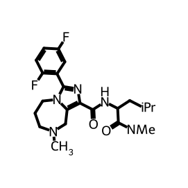 CNC(=O)C(CC(C)C)NC(=O)c1nc(-c2cc(F)ccc2F)n2c1CN(C)CCC2